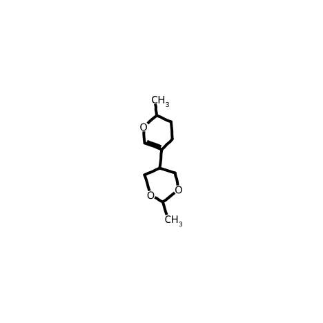 CC1CCC(C2COC(C)OC2)=CO1